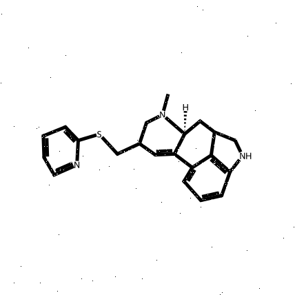 CN1CC(CSc2ccccn2)C=C2c3cccc4c3C(CN4)C[C@@H]21